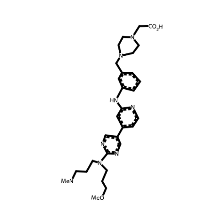 CNCCCN(CCCOC)c1ncc(-c2ccnc(Nc3cccc(CN4CCN(CC(=O)O)CC4)c3)c2)cn1